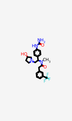 CN(C(=O)Cc1cccc(C(F)(F)F)c1)C(CN1CCC(O)C1)c1ccc(NC(N)=O)cc1